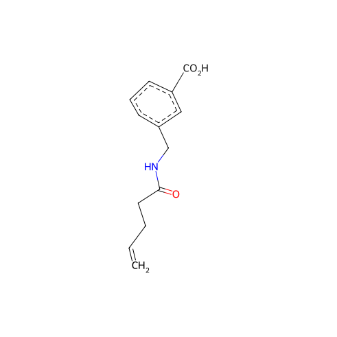 C=CCCC(=O)NCc1cccc(C(=O)O)c1